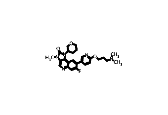 CN(C)CCCOc1ccc(-c2cc3c(cc2F)ncc2c3n(C3CCCOC3)c(=O)n2C)cn1